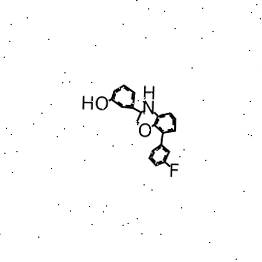 Oc1cccc(C2COc3c(cccc3-c3cccc(F)c3)N2)c1